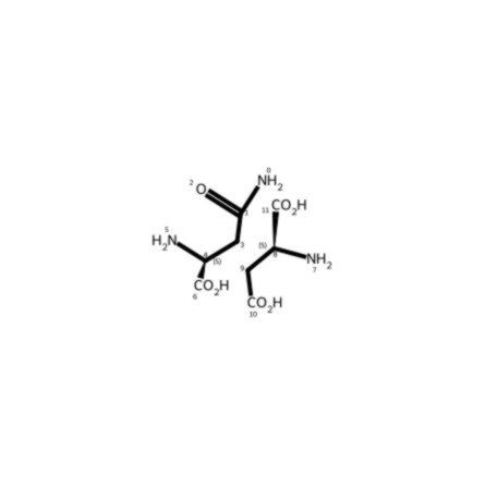 NC(=O)C[C@H](N)C(=O)O.N[C@@H](CC(=O)O)C(=O)O